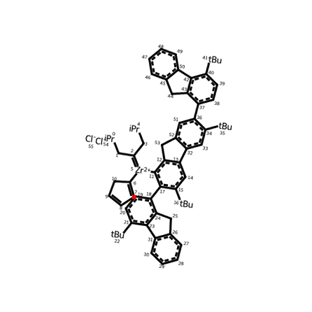 CC(C)C[C](CC(C)C)=[Zr+2]([C]1=CC=CC1)[c]1c2c(cc(C(C)(C)C)c1-c1ccc(C(C)(C)C)c3c1Cc1ccccc1-3)-c1cc(C(C)(C)C)c(-c3ccc(C(C)(C)C)c4c3Cc3ccccc3-4)cc1C2.[Cl-].[Cl-]